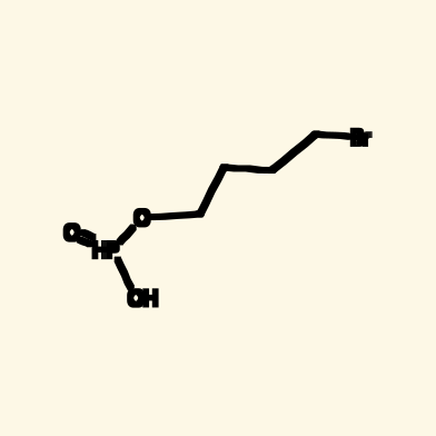 O=[PH](O)OCCCCBr